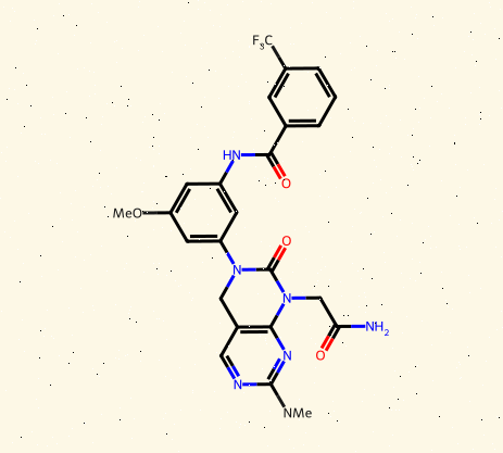 CNc1ncc2c(n1)N(CC(N)=O)C(=O)N(c1cc(NC(=O)c3cccc(C(F)(F)F)c3)cc(OC)c1)C2